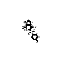 Cc1ccc(S(=O)(=O)c2[nH]c(=O)c3[nH]ccc3c2Br)cc1